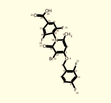 Cc1cc(OCc2ccc(F)cc2F)c(Br)c(=O)n1-c1c(F)cc(C(=O)O)cc1F